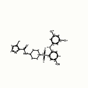 Cc1nnsc1C(=O)NC1CCN(S(=O)(=O)c2cc(C#N)ccc2Oc2cc(Cl)cc(Cl)c2)CC1